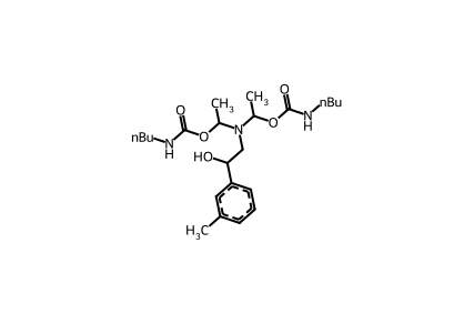 CCCCNC(=O)OC(C)N(CC(O)c1cccc(C)c1)C(C)OC(=O)NCCCC